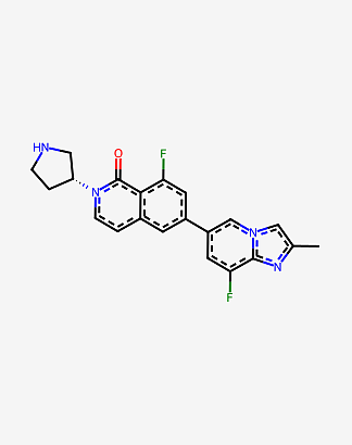 Cc1cn2cc(-c3cc(F)c4c(=O)n([C@@H]5CCNC5)ccc4c3)cc(F)c2n1